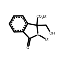 CCOC(=O)C1(CO)c2ccccc2C(=O)N1CC